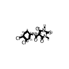 CN1C(=O)C(C(=O)Nc2ccc(Cl)c(Cl)c2)C(=O)N(C)C1=S